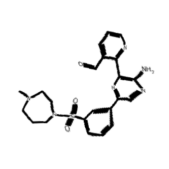 CN1CCCN(S(=O)(=O)c2cccc(-c3cnc(N)c(-c4ncccc4C=O)n3)c2)CC1